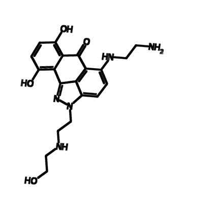 NCCNc1ccc2c3c(nn2CCNCCO)-c2c(O)ccc(O)c2C(=O)c13